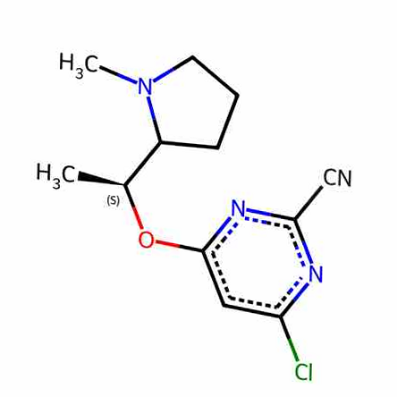 C[C@H](Oc1cc(Cl)nc(C#N)n1)C1CCCN1C